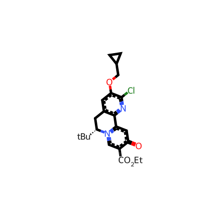 CCOC(=O)c1cn2c(cc1=O)-c1nc(Cl)c(OCC3CC3)cc1C[C@H]2C(C)(C)C